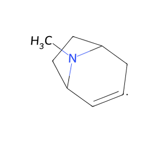 CN1C2C=[C]CC1CC2